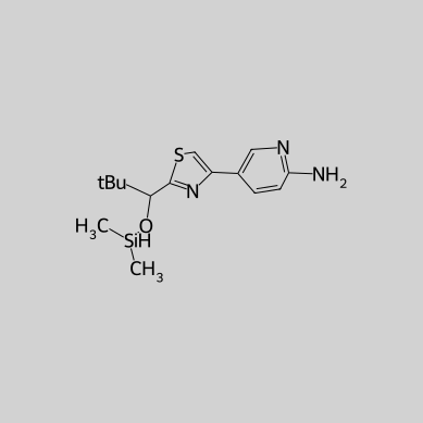 C[SiH](C)OC(c1nc(-c2ccc(N)nc2)cs1)C(C)(C)C